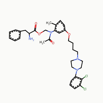 CC(=O)N(COC(=O)C(N)Cc1ccccc1)c1cc(OCCCCN2CCN(c3cccc(Cl)c3Cl)CC2)ccc1C